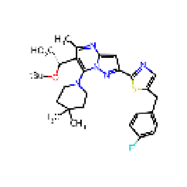 Cc1nc2cc(-c3ncc(Cc4ccc(F)cc4)s3)nn2c(N2CCC(C)(C)CC2)c1[C@H](OC(C)(C)C)C(=O)O